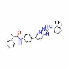 CC(C(=O)Nc1ccc(-c2ccc3nc(Nc4ccccc4C(F)(F)F)nn3c2)cc1)c1ccccc1